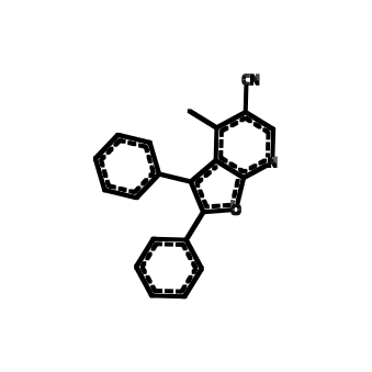 Cc1c(C#N)cnc2oc(-c3ccccc3)c(-c3ccccc3)c12